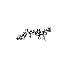 C[C@@H](NC(=O)Cn1cnnn1)[C@H]1C(=O)N2C=C(S[C@@H]3CN[C@H](C(=O)N4CC5CC(CO)NC5C4)C3)[C@H](C)[C@H]12